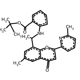 Cc1cc(C(C)Nc2ccccc2C(=O)OC(C)(C)C)c2oc(-c3cccc(C)n3)cc(=O)c2c1